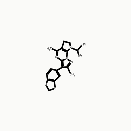 CCCC(CCC)N1CCc2c(C)nc3c(-c4ccc5c(c4)OCO5)c(C)nn3c21